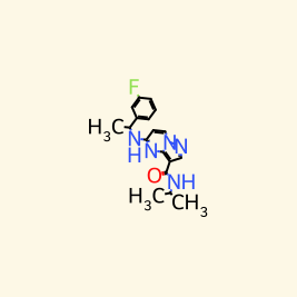 CC(C)NC(=O)c1cnn2ccc(NC(C)c3cccc(F)c3)nc12